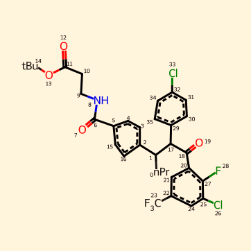 CCCC(c1ccc(C(=O)NCCC(=O)OC(C)(C)C)cc1)C(C(=O)c1cc(C(F)(F)F)cc(Cl)c1F)c1ccc(Cl)cc1